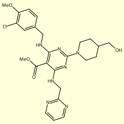 COC(=O)c1c(NCc2ccc(OC)c(Cl)c2)nc(N2CCC(CO)CC2)nc1NCc1ncccn1